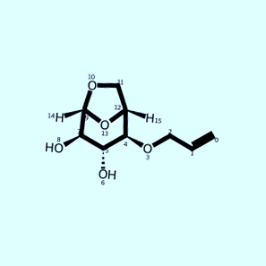 C=CCO[C@H]1[C@H](O)[C@@H](O)[C@@H]2OC[C@H]1O2